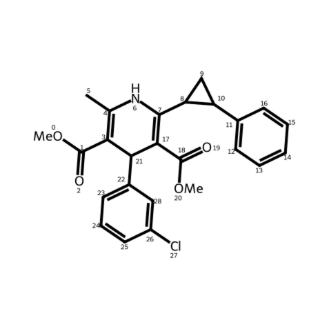 COC(=O)C1=C(C)NC(C2CC2c2ccccc2)=C(C(=O)OC)C1c1cccc(Cl)c1